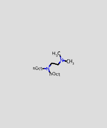 CCCCCCCCN(CCCCCCCC)CCN(C)C